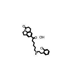 CN(CCCCCC(=O)c1cc2c3c(c1)CCN3C(=O)CC2)CCc1ccccc1Cl.Cl